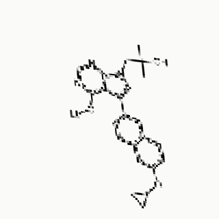 CCOc1ncnc2c1c(-c1ccc3cc(OC4CC4)ccc3c1)cn2CC(C)(C)O